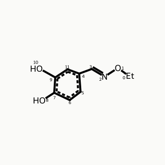 CCON=Cc1ccc(O)c(O)c1